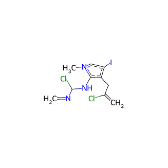 C=NC(Cl)Nc1c(CC(=C)Cl)c(I)cn1C